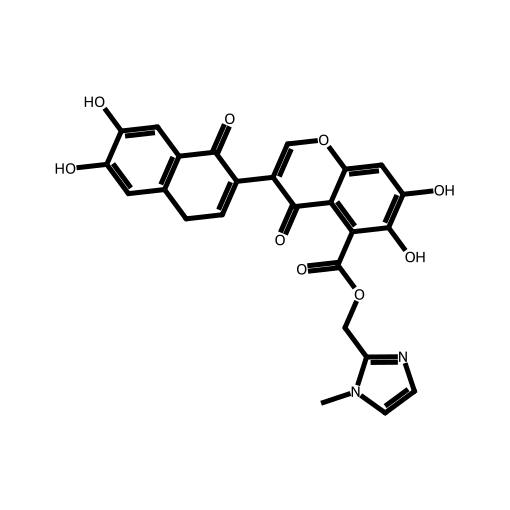 Cn1ccnc1COC(=O)c1c(O)c(O)cc2occ(C3=CCc4cc(O)c(O)cc4C3=O)c(=O)c12